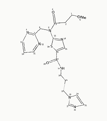 COCCC(=O)N(Cc1ncccn1)c1ncc(C(=O)NCCCn2ccnc2)s1